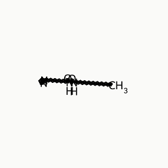 CCCCCCCCCCCCCCCCCCNC(=O)NC(=O)CCCCCCCCCCn1cccn1